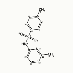 Cc1ccc(S(=O)(=O)Nc2cccc(C)n2)cc1